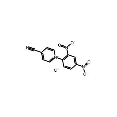 N#Cc1cc[n+](-c2ccc([N+](=O)[O-])cc2[N+](=O)[O-])cc1.[Cl-]